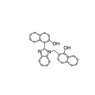 Oc1ccc2ccccc2c1-c1nc2ccccc2n1Cc1ccc2ccccc2c1O